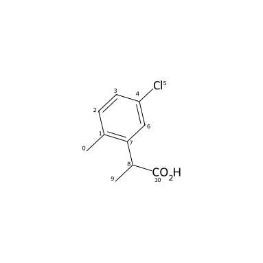 Cc1ccc(Cl)cc1C(C)C(=O)O